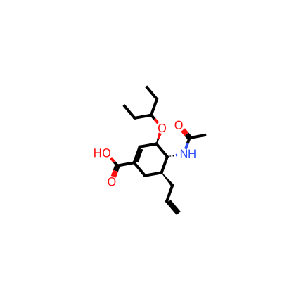 C=CC[C@H]1CC(C(=O)O)=C[C@@H](OC(CC)CC)[C@@H]1NC(C)=O